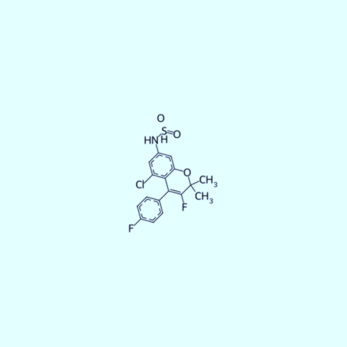 CC1(C)Oc2cc(N[SH](=O)=O)cc(Cl)c2C(c2ccc(F)cc2)=C1F